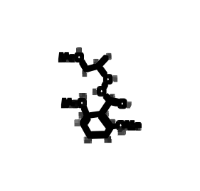 COC[C](C)OOC(=O)c1c(OC)cccc1OC